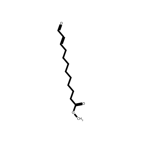 COC(=O)CCCCCCCCC=CC=O